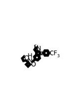 Cn1cc2c3cc(C(=O)NC4(C5CCCO5)CCC4)ccc3n(-c3ccc(C(F)(F)F)cc3)c2n1